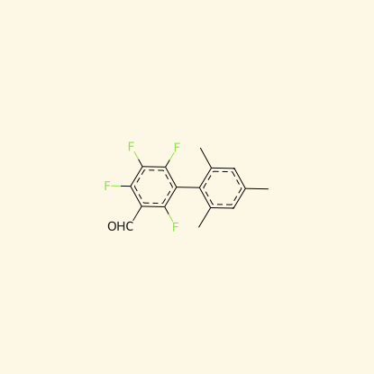 Cc1cc(C)c(-c2c(F)c(F)c(F)c(C=O)c2F)c(C)c1